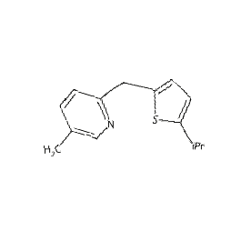 Cc1ccc(Cc2ccc(C(C)C)s2)nc1